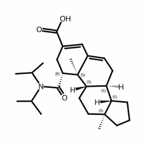 CC(C)N(C(=O)[C@@H]1CC(C(=O)O)=CC2=CC[C@H]3[C@@H]4CCC[C@@]4(C)CC[C@@H]3[C@]21C)C(C)C